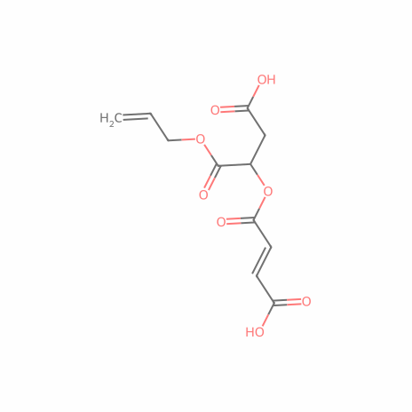 C=CCOC(=O)C(CC(=O)O)OC(=O)/C=C/C(=O)O